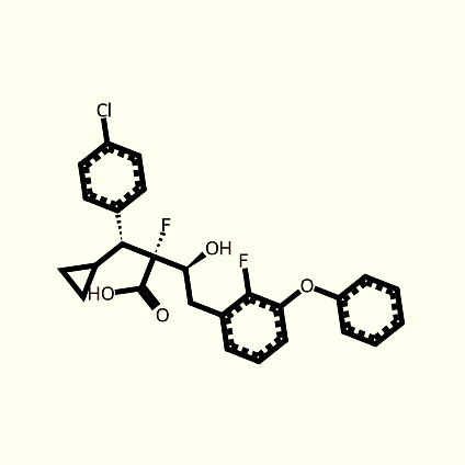 O=C(O)[C@](F)([C@@H](O)Cc1cccc(Oc2ccccc2)c1F)[C@@H](c1ccc(Cl)cc1)C1CC1